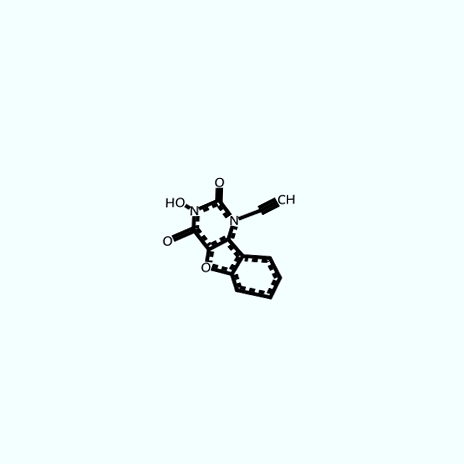 C#Cn1c(=O)n(O)c(=O)c2oc3ccccc3c21